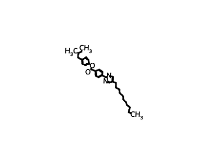 CCCCCCCCCCCc1cnc(-c2ccc(C(=O)Oc3ccc(C[C@@H](C)CC)cc3)cc2)nc1